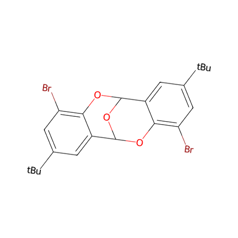 CC(C)(C)c1cc(Br)c2c(c1)C1Oc3c(Br)cc(C(C)(C)C)cc3C(O2)O1